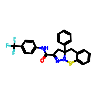 O=C(Nc1ccc(C(F)(F)F)cc1)C1=NN2Sc3ccccc3CC2(c2ccccc2)C1